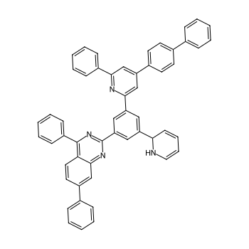 C1=CNC(c2cc(-c3cc(-c4ccc(-c5ccccc5)cc4)cc(-c4ccccc4)n3)cc(-c3nc(-c4ccccc4)c4ccc(-c5ccccc5)cc4n3)c2)C=C1